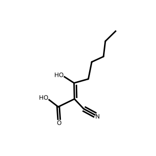 CCCCC/C(O)=C(\C#N)C(=O)O